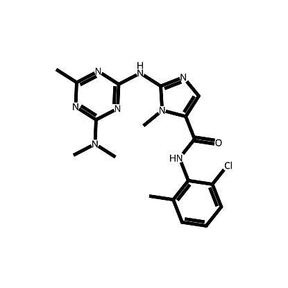 Cc1nc(Nc2ncc(C(=O)Nc3c(C)cccc3Cl)n2C)nc(N(C)C)n1